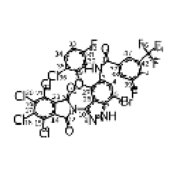 O=C(Nc1cc(Br)c2[nH]nc(N3C(=O)c4c(Cl)c(Cl)c(Cl)c(Cl)c4C3=O)c2c1Oc1cc(F)ccc1Cl)c1cc(F)cc(C(F)(F)F)c1